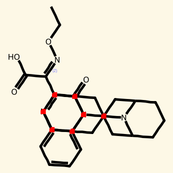 CCO/N=C(\C(=O)O)c1nc2ccccc2n(C2CC3CCCC(C2)N3C2CC3CCCC(C3)C2)c1=O